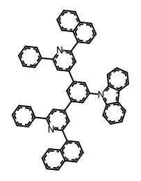 c1ccc(-c2cc(-c3cc(-c4cc(-c5ccccc5)nc(-c5cccc6ccccc56)c4)cc(-n4c5ccccc5c5ccccc54)c3)cc(-c3cccc4ccccc34)n2)cc1